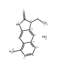 CCn1c(=O)[nH]c2cc3c(N)ncnc3cc21.Cl